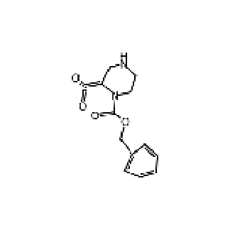 O=C(OCc1ccccc1)N1CCNCC1=S(=O)=O